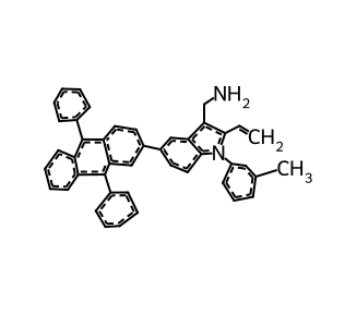 C=Cc1c(CN)c2cc(-c3ccc4c(-c5ccccc5)c5ccccc5c(-c5ccccc5)c4c3)ccc2n1-c1cccc(C)c1